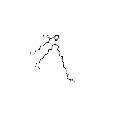 CCCCCCCCCCCCCC(CCCCCCCCCC)c1nccn1C(C)CCCCCCC